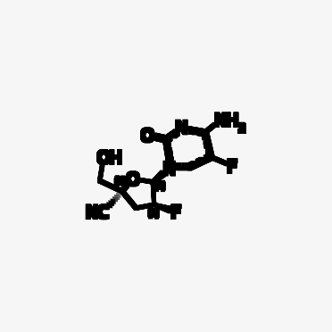 N#C[C@@]1(CO)C[C@H](F)[C@H](n2cc(F)c(N)nc2=O)O1